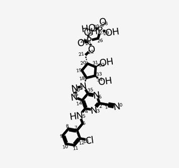 N#Cc1nc(NCc2ccccc2Cl)c2nnn([C@@H]3C[C@H](COP(=O)(O)CP(=O)(O)O)[C@@H](O)[C@H]3O)c2n1